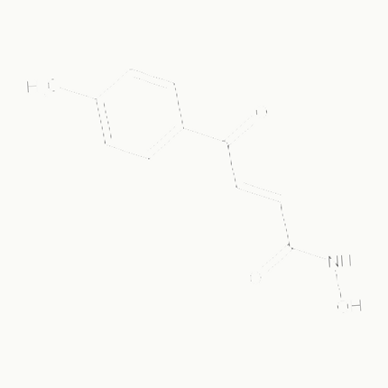 Cc1ccc(C(=O)C=CC(=O)NO)cc1